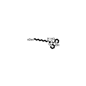 CCCCCCCCCCCCCCCCCCNC(=O)OC([C@@H]1OCCC[C@H]1O)[C@@H]1OCCC[C@H]1O